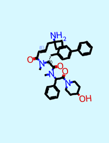 CN(C(=O)[C@@H](Cc1ccc(-c2ccccc2)cc1)N(C)C(=O)/C=C/CC1(N)CCC1)C(C(=O)N1CCC(O)CC1)c1ccccc1